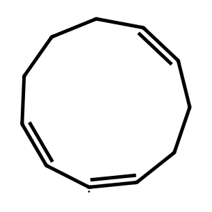 [C]1=CCCC=CCCCC=C1